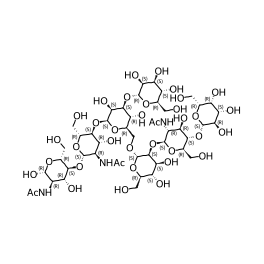 CC(=O)N[C@@H]1[C@@H](O)[C@H](O[C@@H]2O[C@H](CO)[C@@H](O[C@@H]3O[C@H](CO[C@H]4O[C@H](CO)[C@@H](O)[C@H](O)[C@@H]4O[C@@H]4O[C@H](CO)[C@@H](O[C@@H]5O[C@H](CO)[C@H](O)[C@H](O)[C@H]5O)[C@H](O)[C@H]4NC(C)=O)[C@@H](O)[C@H](O[C@H]4O[C@H](CO)[C@@H](O)[C@H](O)[C@@H]4O)[C@@H]3O)[C@H](O)[C@H]2NC(C)=O)[C@@H](CO)O[C@H]1O